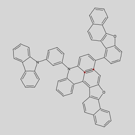 c1cc(N(c2ccc(-c3cccc4oc5c6ccccc6ccc5c34)cc2)c2ccccc2-c2cccc3oc4c5ccccc5ccc4c23)cc(-n2c3ccccc3c3ccccc32)c1